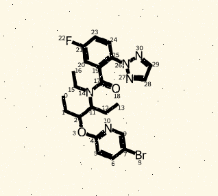 CCC(Oc1ccc(Br)cn1)C(CC)N(CC)C(=O)c1cc(F)ccc1-n1nccn1